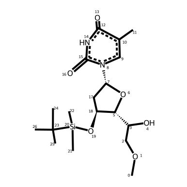 COCC(O)[C@H]1O[C@@H](n2cc(C)c(=O)[nH]c2=O)C[C@@H]1O[Si](C)(C)C(C)(C)C